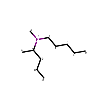 CCCCCP(C)C(C)CCC